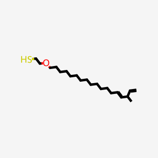 C=CC(C)/C=C/CCCCCCCCCCCCCOCCS